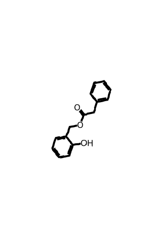 O=C(Cc1ccccc1)OCc1ccccc1O